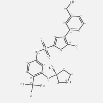 C[C@@]1(Oc2cc(NS(=O)(=O)c3cc(-c4cccc(CO)c4)c(Cl)s3)ccc2C(F)(F)F)CCNC1